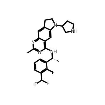 Cc1nc(N[C@H](C)c2cccc(C(F)F)c2F)c2cc3c(cc2n1)CCN3C1CCNC1